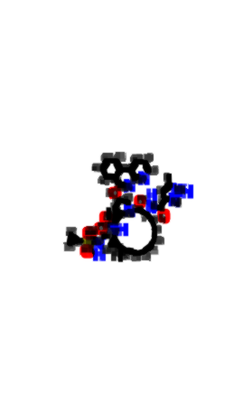 Cc1cc(C(=O)N[C@H]2CCCCCC=C[C@@H]3C[C@@]3(C(=O)NS(=O)(=O)C3CC3)NC(=O)[C@@H]3C[C@@H](Oc4nc5ncccc5c5ccccc45)CN3C2=O)n[nH]1